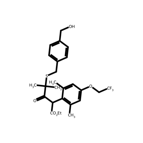 CCOC(=O)C(C(=O)C(C)(C)SCc1ccc(CO)cc1)c1c(C)cc(OCC(F)(F)F)cc1C